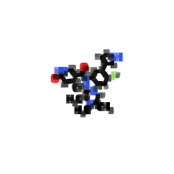 C[C@@H]1CN(c2cc(F)c(C3=CCNC3)cc2NC(=O)c2c[nH]c(=O)cc2C(F)(F)F)C[C@H](C)N1C